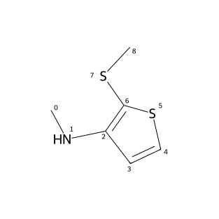 CNc1ccsc1SC